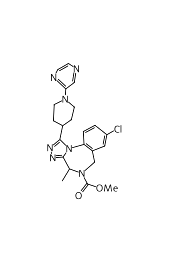 COC(=O)N1Cc2cc(Cl)ccc2-n2c(C3CCN(c4cnccn4)CC3)nnc2C1C